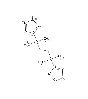 CC(C)(CCC(C)(C)c1cscn1)c1cn[nH]c1